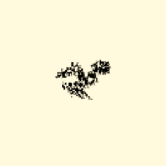 COS(=O)(=O)CCNC(=O)c1ccc(CC(c2ccc(C(C)(C)C)cc2)c2cc(-c3ccc(F)c(-c4ccc(C(F)(F)F)cc4)c3)on2)cc1